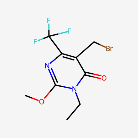 CCn1c(OC)nc(C(F)(F)F)c(CBr)c1=O